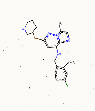 Cc1cc(F)ccc1CNc1cc(SC2CCCNC2)nn2c(C(C)C)cnc12